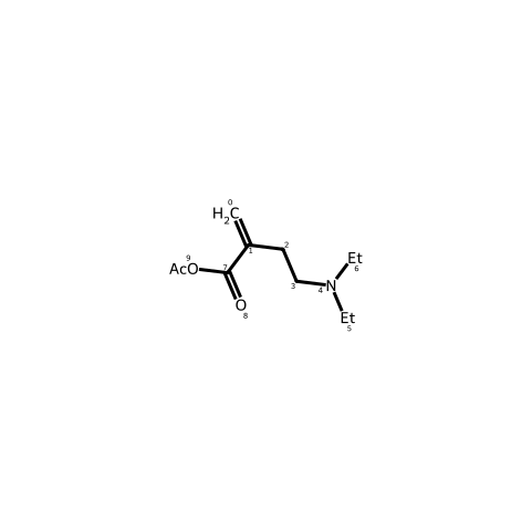 C=C(CCN(CC)CC)C(=O)OC(C)=O